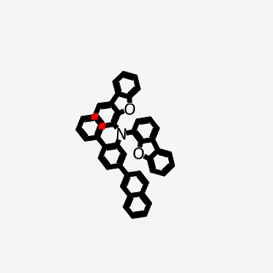 c1ccc(-c2ccc(-c3ccc4ccccc4c3)cc2N(c2cccc3c2oc2ccccc23)c2cccc3c2oc2ccccc23)cc1